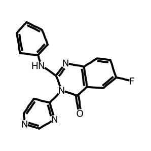 O=c1c2cc(F)ccc2nc(Nc2ccccc2)n1-c1ccncn1